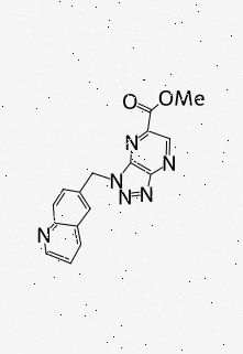 COC(=O)c1cnc2nnn(Cc3ccc4ncccc4c3)c2n1